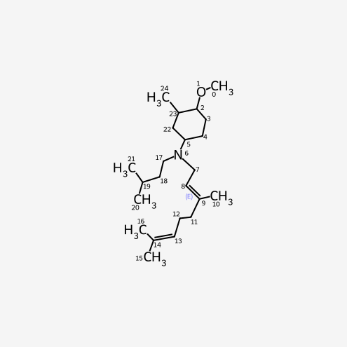 COC1CCC(N(C/C=C(\C)CCC=C(C)C)CCC(C)C)CC1C